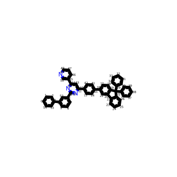 c1ccc(-c2cccc(-c3nc(-c4ccc(-c5ccc6c(c5)-c5ccccc5C6(c5ccccc5)c5ccccc5)cc4)cc(-c4cccnc4)n3)c2)cc1